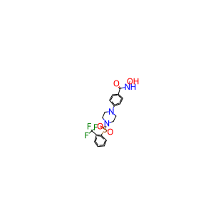 O=C(NO)c1ccc(N2CCN(S(=O)(=O)c3ccccc3C(F)(F)F)CC2)cc1